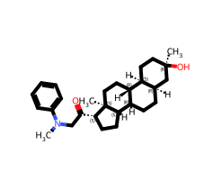 CN(CC(=O)[C@H]1CC[C@H]2[C@@H]3CC[C@@H]4C[C@](C)(O)CC[C@@H]4[C@H]3CC[C@]12C)c1ccccc1